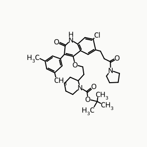 Cc1cc(C)cc(-c2c(OCCC3CCCCN3C(=O)OC(C)(C)C)c3cc(CCC(=O)N4CCCC4)c(Cl)cc3[nH]c2=O)c1